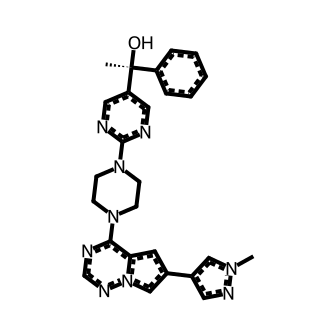 Cn1cc(-c2cc3c(N4CCN(c5ncc([C@@](C)(O)c6ccccc6)cn5)CC4)ncnn3c2)cn1